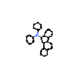 c1ccc(N(c2ccccc2)c2cc3c4ccccc4ccc3c3ccccc23)cc1